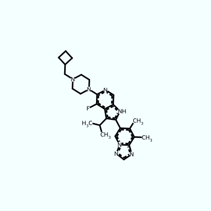 Cc1c(-c2[nH]c3cnc(N4CCN(CC5CCC5)CC4)c(F)c3c2C(C)C)cn2ncnc2c1C